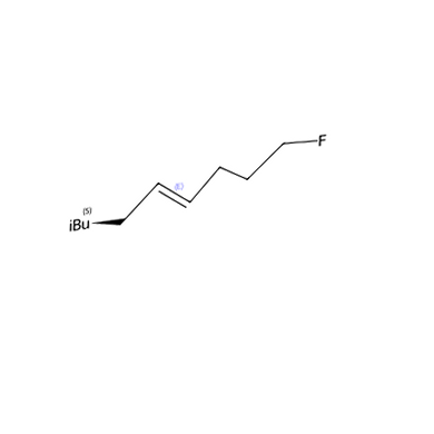 CC[C@H](C)C/C=C/CCCF